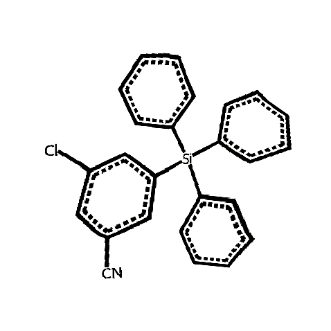 N#Cc1cc(Cl)cc([Si](c2ccccc2)(c2ccccc2)c2ccccc2)c1